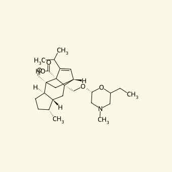 CCC1CN(C)C[C@H](OC[C@@]23C[C@@H]4[C@H](C)CC[C@H]4[C@]4(C=O)C[C@@H]2C=C(C(C)C)[C@@]34C(=O)O)O1